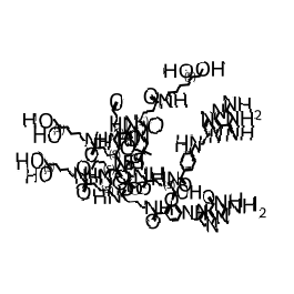 CC(C)(CNC(=O)[C@H](CCC(=O)NCCCC[C@H](O)CO)NC(=O)[C@H](CCC=O)NC(=O)[C@H](CCC(=O)NCCCC[C@H](O)CO)NC(=O)[C@H](CCC=O)NC(=O)[C@H](CCC(=O)NCCCC[C@H](O)CO)NC(=O)CCCNC(=O)c1ccc(NCc2cnc3nc(N)[nH]c(=O)c3n2)cc1)SSCC(C=O)NC(=O)CC[C@H](NC(=O)c1ccc(NCc2cnc3nc(N)[nH]c(=N)c3n2)cc1)C(=O)O